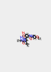 CCOc1ccc(C(=O)Nc2ccc(O)c(-c3cc(C4CCC4)n(C(=O)NC(C)C)n3)c2)cc1